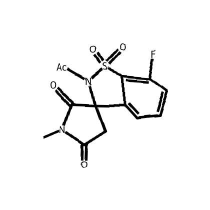 CC(=O)N1C2(CC(=O)N(C)C2=O)c2cccc(F)c2S1(=O)=O